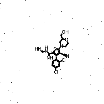 N#Cc1c(N2CCOC(CO)C2)sc(C(=N)NC=N)c1-c1ccc(Cl)cc1Cl